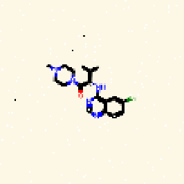 CC(C)[C@H](Nc1ncnc2ccc(Br)cc12)C(=O)N1CCN(C)CC1